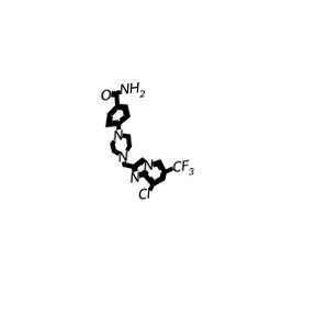 NC(=O)c1ccc(N2CCN(Cc3cn4cc(C(F)(F)F)cc(Cl)c4n3)CC2)cc1